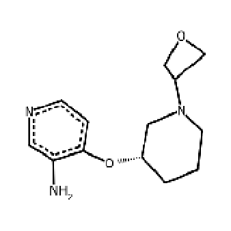 Nc1cnccc1O[C@H]1CCCN(C2COC2)C1